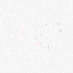 COC(=O)C[C@@]1(C)CCC[C@]2(C)c3ccc(C(C)C)cc3C(OC(C)=O)=CC12